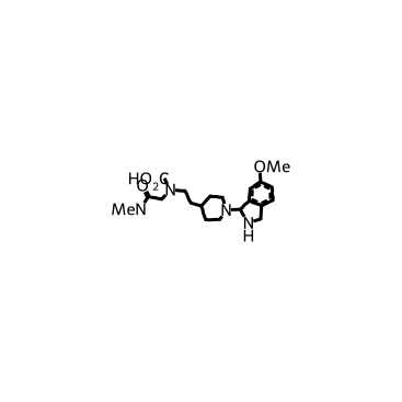 CNC(=O)CN(CCC1CCN(C2NCc3ccc(OC)cc32)CC1)C(=O)O